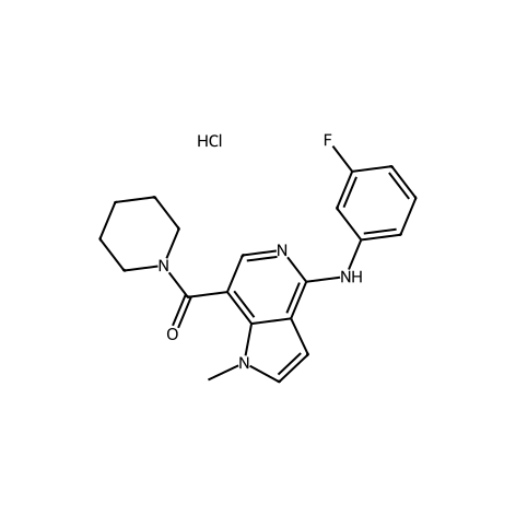 Cl.Cn1ccc2c(Nc3cccc(F)c3)ncc(C(=O)N3CCCCC3)c21